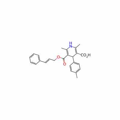 CC1=C(C(=O)O)C(c2ccc(C)cc2)C(C(=O)OC/C=C/c2ccccc2)=C(C)N1